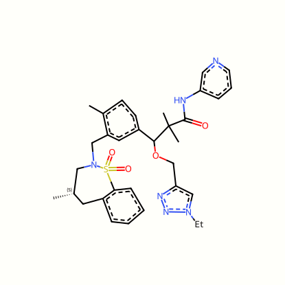 CCn1cc(COC(c2ccc(C)c(CN3C[C@@H](C)Cc4ccccc4S3(=O)=O)c2)C(C)(C)C(=O)Nc2cccnc2)nn1